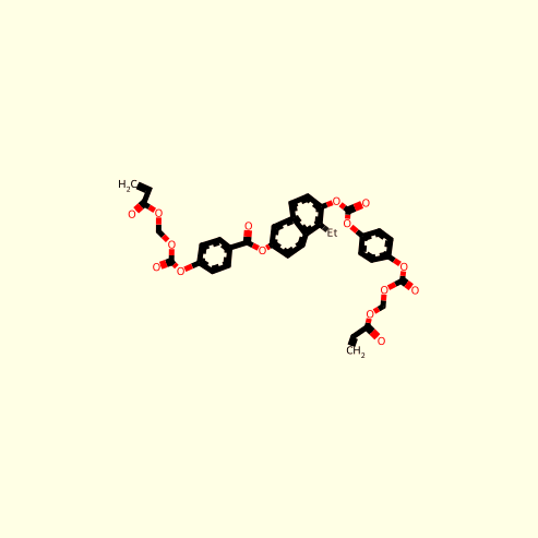 C=CC(=O)OCOC(=O)Oc1ccc(OC(=O)Oc2ccc3cc(OC(=O)c4ccc(OC(=O)OCOC(=O)C=C)cc4)ccc3c2CC)cc1